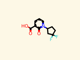 O=C(O)c1cccn(C2CCC(F)(F)C2)c1=O